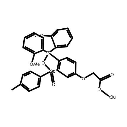 COc1ccccc1S(OS(=O)(=O)c1ccc(C)cc1)(c1ccc(OCC(=O)OC(C)(C)C)cc1)c1ccccc1OC